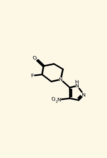 O=C1CCN(c2[nH]ncc2[N+](=O)[O-])CC1F